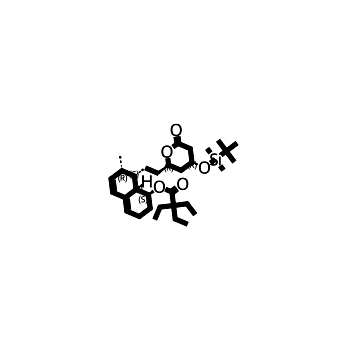 CCC(CC)(CC)C(=O)O[C@H]1CCC=C2C=C[C@H](C)[C@H](CC[C@@H]3C[C@@H](O[Si](C)(C)C(C)(C)C)CC(=O)O3)[C@H]21